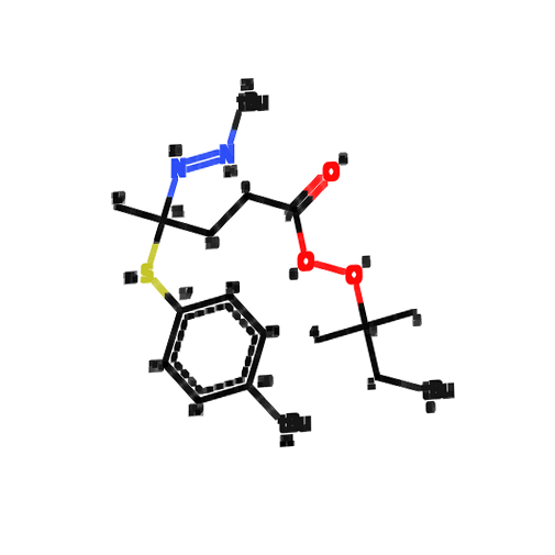 CC(C)(C)CC(C)(C)OOC(=O)CCC(C)(N=NC(C)(C)C)Sc1ccc(C(C)(C)C)cc1